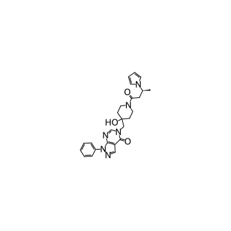 C[C@@H](CC(=O)N1CCC(O)(Cn2cnc3c(cnn3-c3ccccc3)c2=O)CC1)n1cccc1